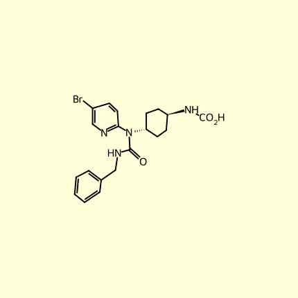 O=C(O)N[C@H]1CC[C@H](N(C(=O)NCc2ccccc2)c2ccc(Br)cn2)CC1